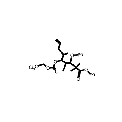 C=CCC(C)C(OC(=O)OCC(Cl)(Cl)Cl)C(C)C(OC(C)C)C(C)(C)C(=O)OC(C)C